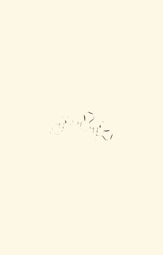 O=C(CO[C@@H]1CCC(N2C(=O)c3ccccc3C2=O)c2ccccc21)N1CCOCC1